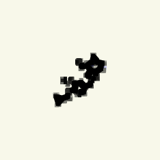 Cc1cc(Cn2cc3c(n2)\C=C/C=C/C=C/3C=O)cnc1OCC1CC1